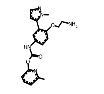 Cc1cccc(OC(=O)Nc2ccc(OCCN)c(-c3ccnn3C)c2)n1